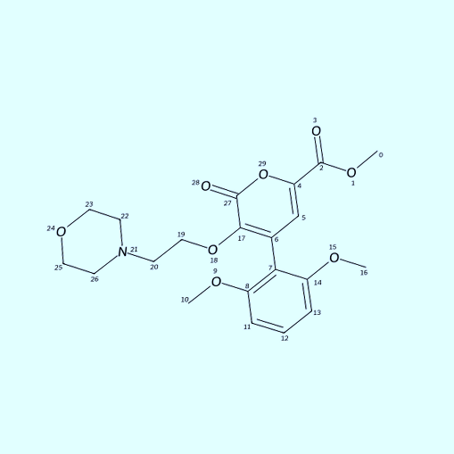 COC(=O)c1cc(-c2c(OC)cccc2OC)c(OCCN2CCOCC2)c(=O)o1